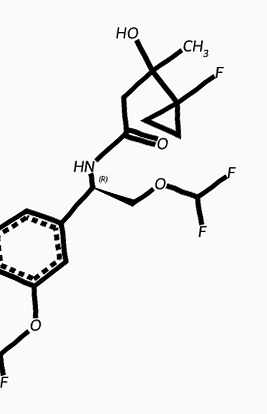 CC(O)(CC(=O)N[C@@H](COC(F)F)c1cccc(OC(F)F)c1)C1(F)CC1